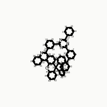 c1ccc(-c2cccc(-c3nc(-c4ccccc4)nc(-c4cccc(-c5nc6ccccc6c6c7c(ccc56)C5(c6ccccc6O7)c6ccccc6-c6ccccc65)c4)n3)c2)cc1